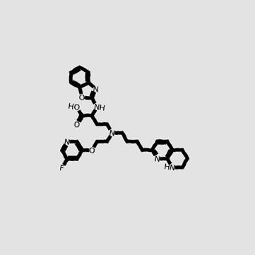 O=C(O)C(CCN(CCCCc1ccc2c(n1)NCCC2)CCOc1cncc(F)c1)Nc1nc2ccccc2o1